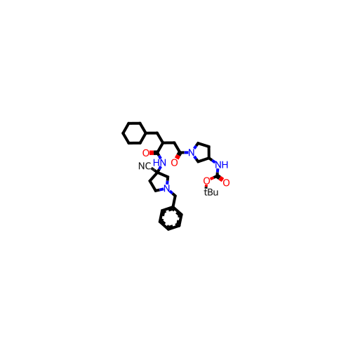 CC(C)(C)OC(=O)NC1CCN(C(=O)CC(CC2CCCCC2)C(=O)NC2(C#N)CCN(Cc3ccccc3)C2)C1